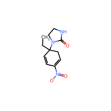 CCC1(N2CCNC2=O)C=CC([N+](=O)[O-])=CC1